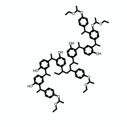 CCOC(C)Oc1ccc(C(CC(C)c2ccc(O)c(C(C)c3ccc(O)c(C(C)c4ccc(OC(C)OCC)c(C(C)c5ccc(OC(C)OCC)cc5)c4)c3)c2)CC(CC)c2ccc(O)c(C(C)c3ccc(O)c(C(C)c4ccc(O)c(C(C)c5ccc(OC(C)OCC)cc5)c4)c3)c2)cc1